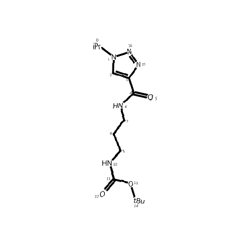 CC(C)n1cc(C(=O)NCCCNC(=O)OC(C)(C)C)nn1